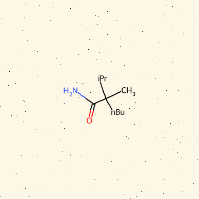 CCCCC(C)(C(N)=O)C(C)C